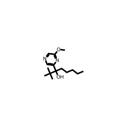 CCCCCC(O)(c1cncc(OC)n1)C(C)(C)C